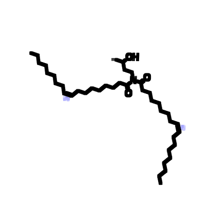 [CH2]C(O)CCN(C(=O)CCCCCCC/C=C\CCCCCCCC)C(=O)CCCCCCC/C=C\CCCCCCCC